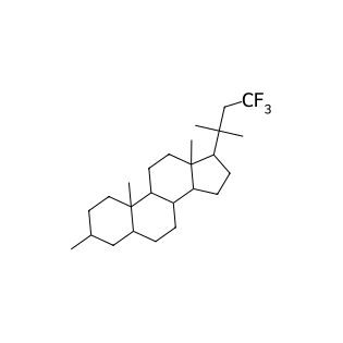 CC1CCC2(C)C(CCC3C2CCC2(C)C3CCC2C(C)(C)CC(F)(F)F)C1